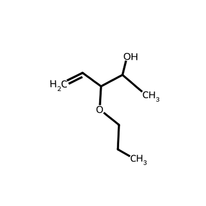 C=CC(OCCC)C(C)O